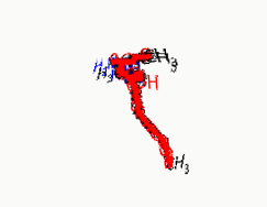 COCCOCCOCCOCCOCCOCOCCCOCCOCCOCCOCCN(CCC(=O)N[C@H](C(=O)N[C@@H](CCCNC(N)=O)C(=O)Nc1ccc(COC(=O)C(C)(C)C)cc1)C(C)C)C(=O)CN1C(=O)C=CC1O